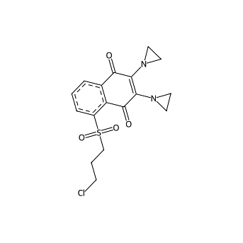 O=C1C(N2CC2)=C(N2CC2)C(=O)c2c1cccc2S(=O)(=O)CCCCl